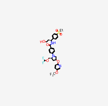 CCS(=O)(=O)c1ccc([C@H](CCO)NC(=O)c2ccc(N3CC(Oc4ccc(OC(F)(F)F)cn4)C[C@H]3COC(F)F)cc2)cc1